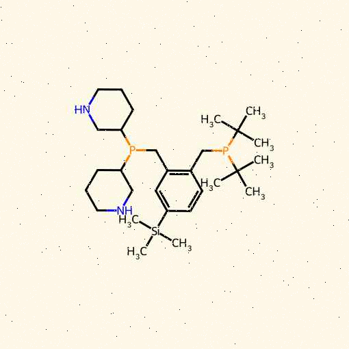 CC(C)(C)P(Cc1ccc([Si](C)(C)C)cc1CP(C1CCCNC1)C1CCCNC1)C(C)(C)C